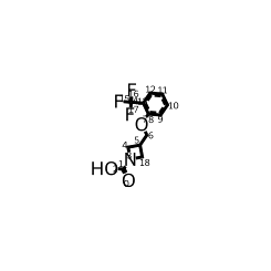 O=C(O)N1CC(COc2ccccc2C(F)(F)F)C1